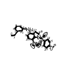 CCc1cccc(Nc2ccc([N+](=O)[O-])c3c2ccn3S(=O)(=O)c2ccc(OC)cc2)c1